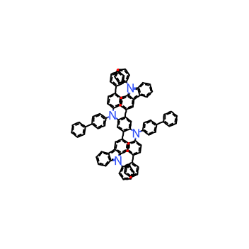 c1ccc(-c2ccc(N(c3ccc(-c4ccccc4)cc3)c3cc(-c4ccc5c(c4)c4ccccc4n5-c4ccccc4)c(N(c4ccc(-c5ccccc5)cc4)c4ccc(-c5ccccc5)cc4)cc3-c3ccc4c(c3)c3ccccc3n4-c3ccccc3)cc2)cc1